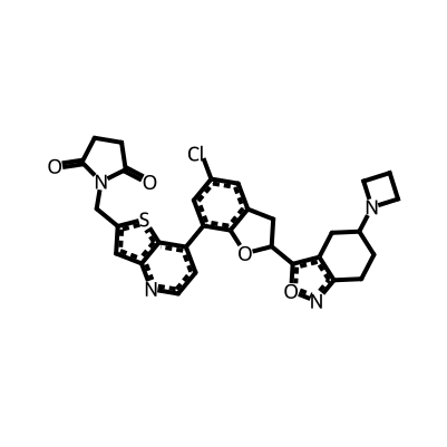 O=C1CCC(=O)N1Cc1cc2nccc(-c3cc(Cl)cc4c3OC(c3onc5c3CC(N3CCC3)CC5)C4)c2s1